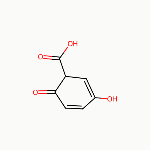 O=C(O)C1C=C(O)C=CC1=O